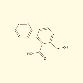 O=C(O)c1ccccc1CS.c1ccccc1